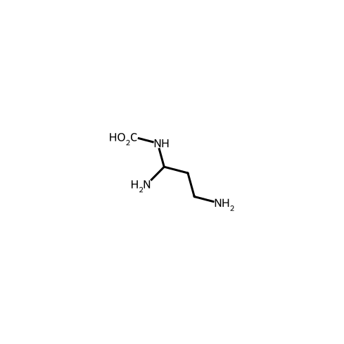 NCCC(N)NC(=O)O